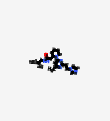 CCCCC(CC)CNC(=O)CC1CCCCN1c1cc(C)nc(CCn2ccnc2)n1